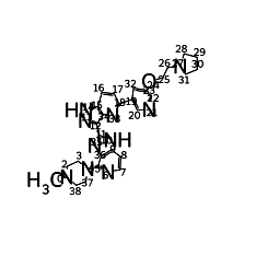 CN1CCN(c2nccc3[nH]c(-c4n[nH]c5ccc(-c6cncc(OCCN7CCCC7)c6)nc45)nc23)CC1